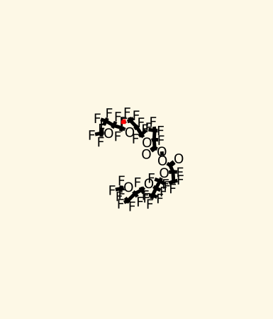 O=C(OOC(=O)C(F)(OC(F)(F)C(F)(OC(F)(F)C(F)(OC(F)(F)F)C(F)(F)F)C(F)(F)F)C(F)(F)F)C(F)(OC(F)(F)C(F)(OC(F)(F)C(F)(OC(F)(F)F)C(F)(F)F)C(F)(F)F)C(F)(F)F